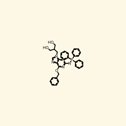 OCC(CO)Cn1cnc2c(OCc3ccccc3)nc(N=P(c3ccccc3)(c3ccccc3)c3ccccc3)nc21